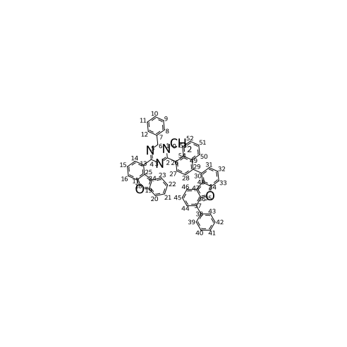 C=N/C(=N\C(=N/Cc1ccccc1)c1cccc2oc3ccccc3c12)c1ccc(-c2cccc3oc4c(-c5ccccc5)cccc4c23)c2ccccc12